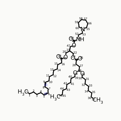 CCCCC/C=C\C/C=C\CCCCCCCC(=O)OCC(COC(=O)CCC(OCCCCCCCC)OCCCCCCCC)COC(=O)NCCN1CCCCCC1